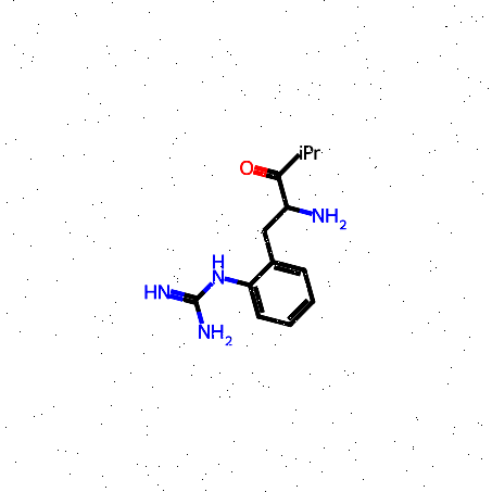 CC(C)C(=O)C(N)Cc1ccccc1NC(=N)N